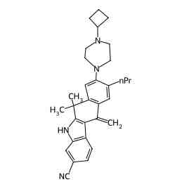 C=C1c2cc(CCC)c(N3CCN(C4CCC4)CC3)cc2C(C)(C)c2[nH]c3cc(C#N)ccc3c21